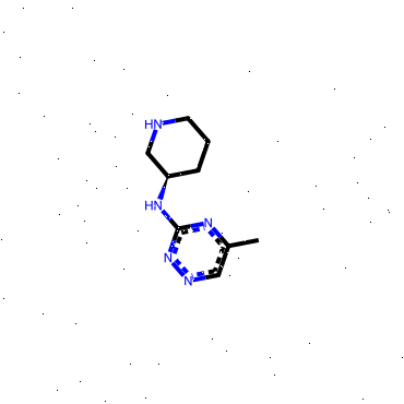 Cc1cnnc(N[C@@H]2CCCNC2)n1